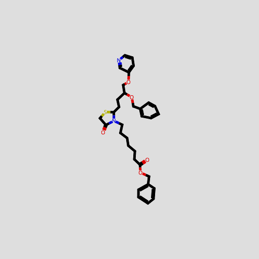 O=C(CCCCCCN1C(=O)CSC1CCC(COc1cccnc1)OCc1ccccc1)OCc1ccccc1